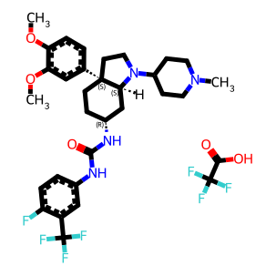 COc1ccc([C@@]23CC[C@@H](NC(=O)Nc4ccc(F)c(C(F)(F)F)c4)C[C@@H]2N(C2CCN(C)CC2)CC3)cc1OC.O=C(O)C(F)(F)F